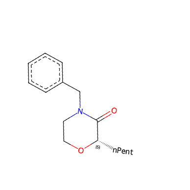 CCCCC[C@@H]1OCCN(Cc2ccccc2)C1=O